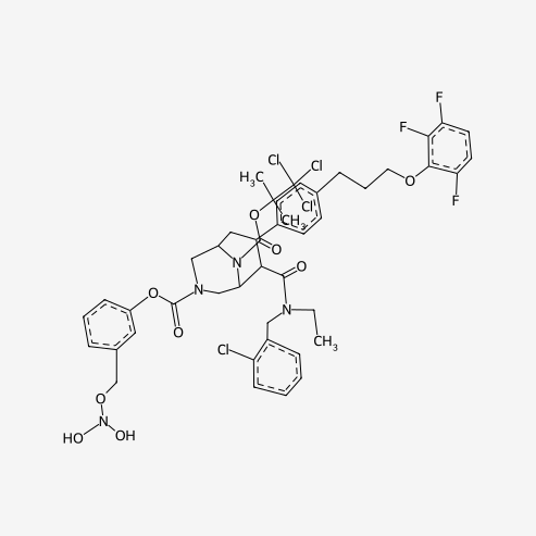 CCN(Cc1ccccc1Cl)C(=O)C1C(c2ccc(CCCOc3c(F)ccc(F)c3F)cc2)CC2CN(C(=O)Oc3cccc(CON(O)O)c3)CC1N2C(=O)OC(C)(C)C(Cl)(Cl)Cl